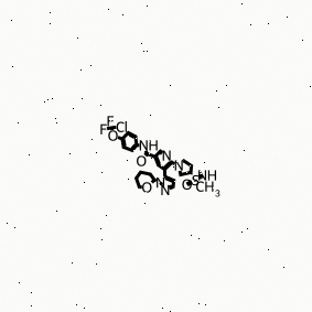 CS(=N)(=O)[C@H]1CCN(c2ncc(C(=O)Nc3ccc(OC(F)(F)Cl)cc3)cc2-c2ccnn2C2CCCCO2)C1